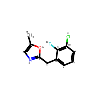 Cc1cnc(Cc2cccc(Cl)c2F)o1